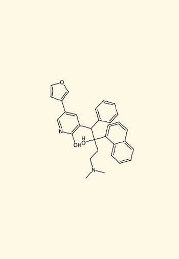 CN(C)CCC(O)(C1=C=C=Cc2ccccc21)C(c1ccccc1)c1cc(-c2ccoc2)cnc1O